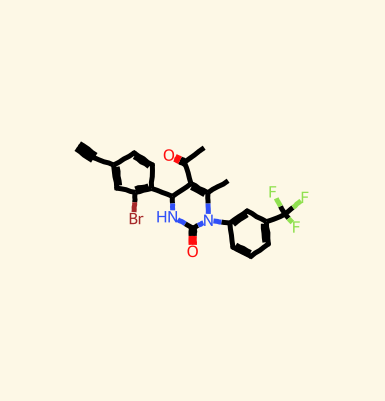 C#Cc1ccc(C2NC(=O)N(c3cccc(C(F)(F)F)c3)C(C)=C2C(C)=O)c(Br)c1